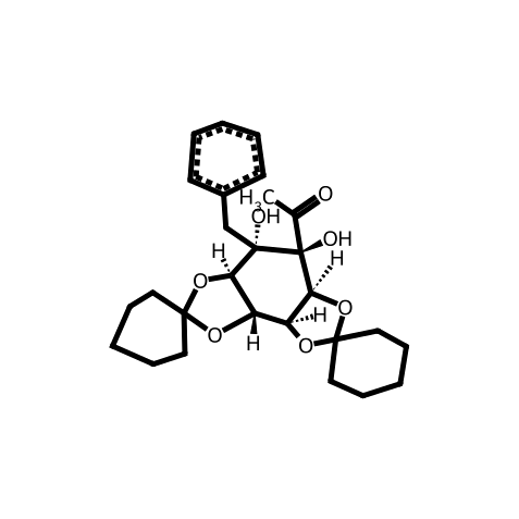 CC(=O)[C@]1(O)[C@H]2OC3(CCCCC3)O[C@H]2[C@@H]2OC3(CCCCC3)O[C@H]2[C@@]1(O)Cc1ccccc1